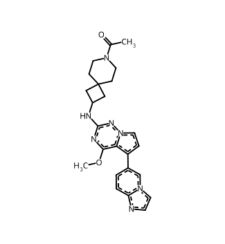 COc1nc(NC2CC3(CCN(C(C)=O)CC3)C2)nn2ccc(-c3ccc4nccn4c3)c12